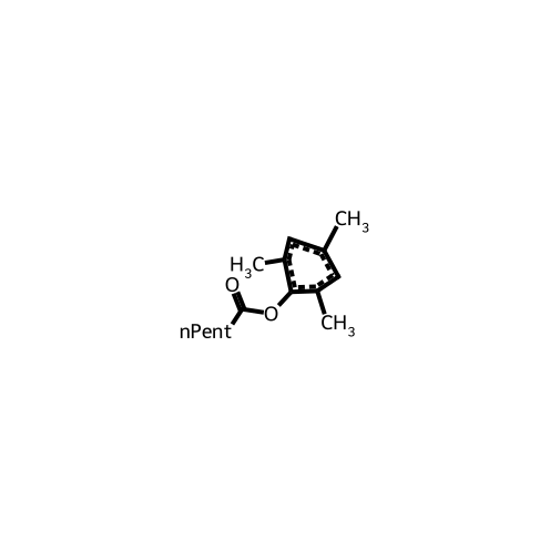 CCCCCC(=O)Oc1c(C)cc(C)cc1C